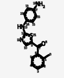 Cc1ccccc1C(=O)c1cnc(Nc2ccc(N)cc2)s1